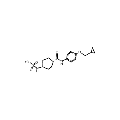 CC(C)(C)S(=O)(=O)N[C@H]1CC[C@H](C(=O)Nc2ccc(OCC3CC3)cc2)CC1